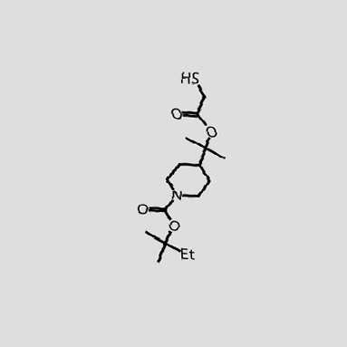 CCC(C)(C)OC(=O)N1CCC(C(C)(C)OC(=O)CS)CC1